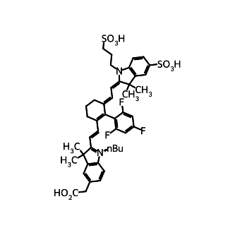 CCCC[N+]1=C(/C=C/C2=C(c3c(F)cc(F)cc3F)C(=C/C=C3/N(CCCS(=O)(=O)O)c4ccc(S(=O)(=O)O)cc4C3(C)C)/CCC2)C(C)(C)c2cc(CC(=O)O)ccc21